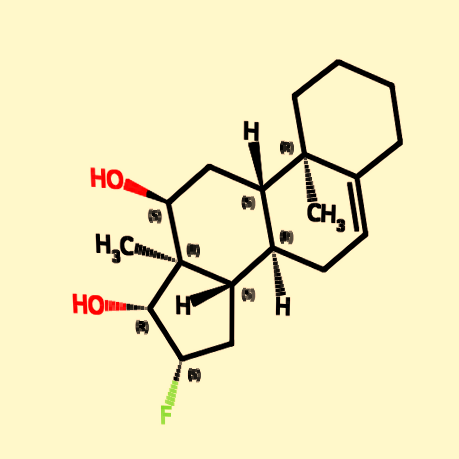 C[C@]12[C@@H](O)C[C@H]3[C@@H](CC=C4CCCC[C@@]43C)[C@@H]1C[C@H](F)[C@@H]2O